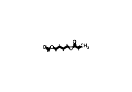 C=CC(=O)OCCCCO[C]=O